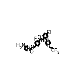 N[C@@H]1CCN(C(=O)NCc2ccc(C(=O)Nc3ccc(Cl)cc3N3CCN(CCC(F)(F)F)CC3)c(F)c2)C1